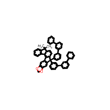 CC1(C)c2ccccc2-c2c1ccc1c2-c2cc3c(cc2C1(c1cccc(-c2cccc(-c4ccccc4)c2)c1)c1cccc(-c2cccc(-c4ccccc4)c2)c1)OCO3